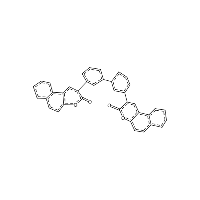 O=c1oc2ccc3ccccc3c2cc1-c1cccc(-c2cccc(-c3cc4c(ccc5ccccc54)oc3=O)c2)c1